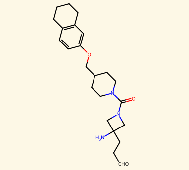 NC1(CCC=O)CN(C(=O)N2CCC(COc3ccc4c(c3)CCCC4)CC2)C1